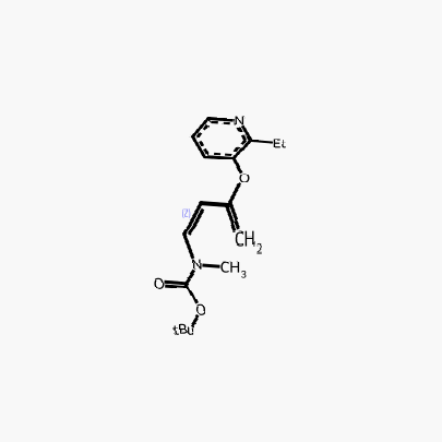 C=C(/C=C\N(C)C(=O)OC(C)(C)C)Oc1cccnc1CC